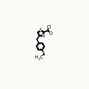 CSc1ccc(Cc2csc(C(=O)Cl)n2)cc1